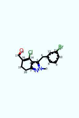 Cn1nc2c(c1Cc1cccc(Br)c1)C(Cl)=C(C=O)CC2